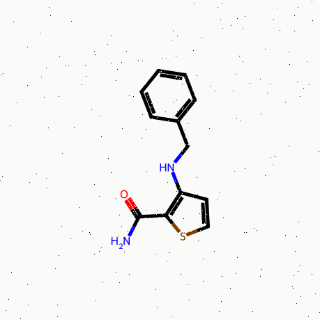 NC(=O)c1sccc1NCc1ccccc1